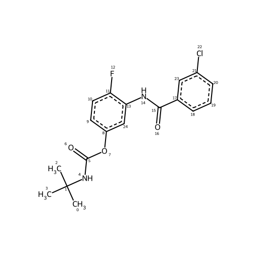 CC(C)(C)NC(=O)Oc1ccc(F)c(NC(=O)c2cccc(Cl)c2)c1